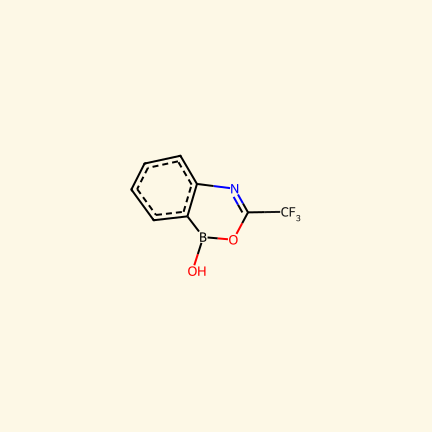 OB1OC(C(F)(F)F)=Nc2ccccc21